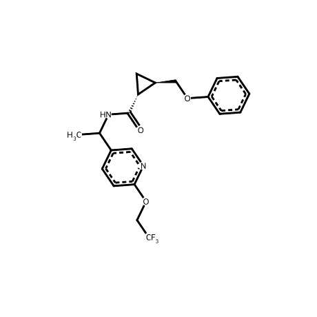 CC(NC(=O)[C@@H]1C[C@H]1COc1ccccc1)c1ccc(OCC(F)(F)F)nc1